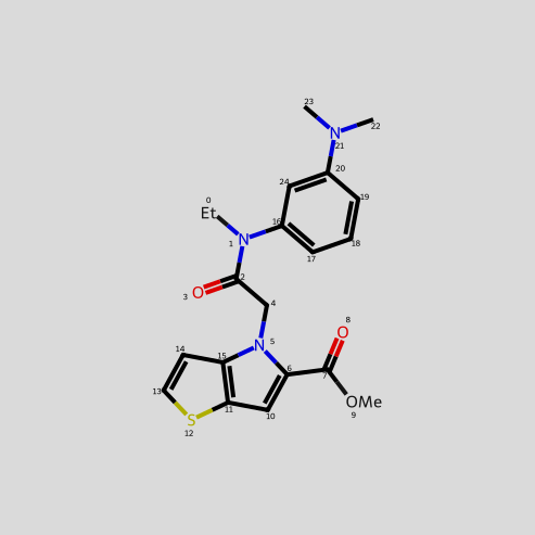 CCN(C(=O)Cn1c(C(=O)OC)cc2sccc21)c1cccc(N(C)C)c1